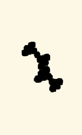 c1ccc2c(c1)oc1c2ccc2c3ccccc3n(-c3ccc(-c4ccc(-c5ccc(-n6c7cccc(-c8cccc9c8c8ccc%10c%11ccccc%11oc%10c8n9-c8ccc(-c9ccc(-n%10c%11ccccc%11c%11ccc%12c%13ccccc%13oc%12c%11%10)cc9)cc8)c7c7ccc8c9ccccc9oc8c76)cc5)cc4)cc3)c21